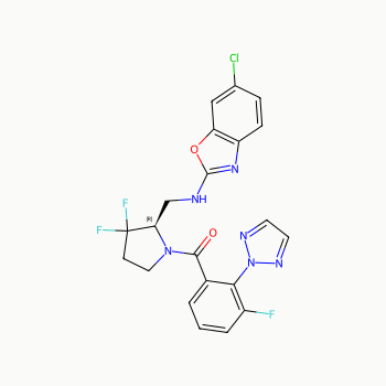 O=C(c1cccc(F)c1-n1nccn1)N1CCC(F)(F)[C@H]1CNc1nc2ccc(Cl)cc2o1